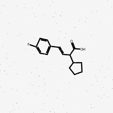 O=C(O)C(C=Cc1ccc(F)cc1)C1CCCC1